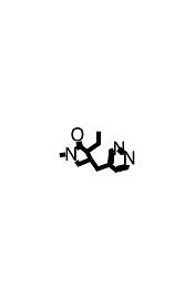 CCC1C(=O)N(C)CC1Cc1ccnnc1